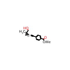 COC(=O)c1ccc(C#C[C@@H]2C[C@@]2(C)CO)cc1